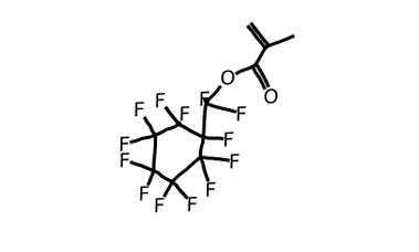 C=C(C)C(=O)OC(F)(F)C1(F)C(F)(F)C(F)(F)C(F)(F)C(F)(F)C1(F)F